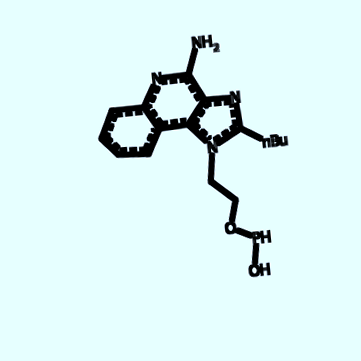 CCCCc1nc2c(N)nc3ccccc3c2n1CCOPO